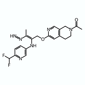 CC(=O)N1CCc2cc(OC/C(Nc3ccc(C(F)F)nc3)=C(\C)N=N)ncc2C1